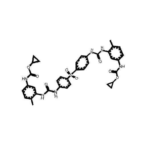 Cc1ccc(NC(=O)OC2CC2)cc1NC(=O)Nc1ccc(S(=O)(=O)c2ccc(NC(=O)Nc3cc(NC(=O)OC4CC4)ccc3C)cc2)cc1